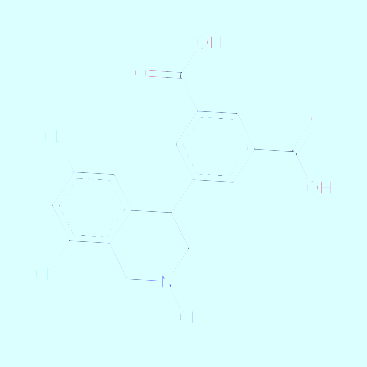 CN1Cc2c(Cl)cc(Cl)cc2C(c2cc(C(=O)O)cc(C(=O)O)c2)C1